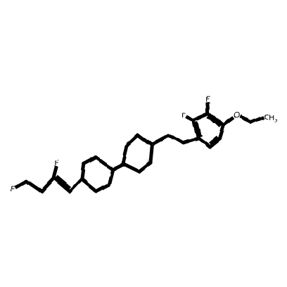 CCOc1ccc(CCC2CCC(C3CCC(/C=C(\F)CCF)CC3)CC2)c(F)c1F